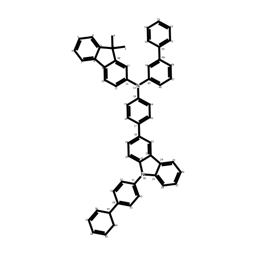 CC1(C)c2ccccc2-c2ccc(N(c3ccc(-c4ccc5c(c4)c4ccccc4n5-c4ccc(C5C=CC=CC5)cc4)cc3)c3cccc(-c4ccccc4)c3)cc21